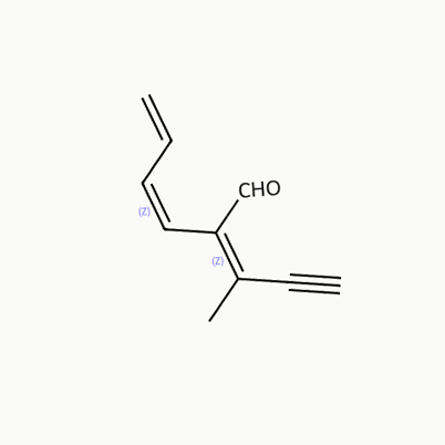 C#C/C(C)=C(C=O)/C=C\C=C